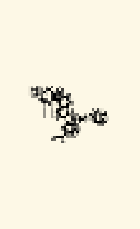 C=Cc1cc(-c2ccc3c(ccc4sc5c(c43)NC[C@@H](C)NC5)n2)c(OCCN2CCOCC2)nn1